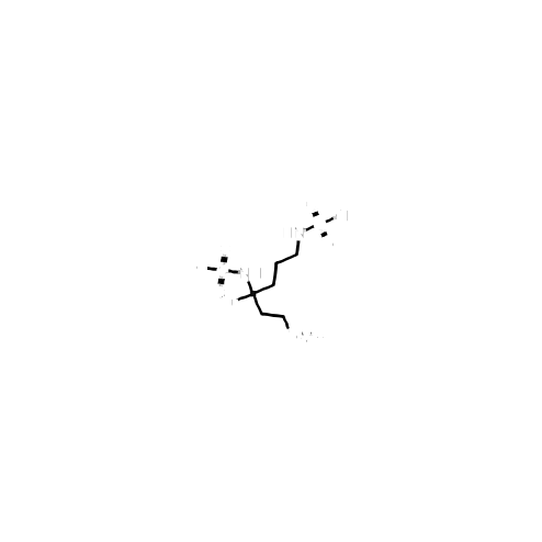 [CH2]CC(CCCNS(C)(=O)=O)(CCOC)NS(C)(=O)=O